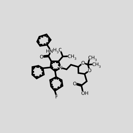 CC(C)c1c(C(=O)Nc2ccccc2)c(-c2ccccc2)c(-c2ccc(F)cc2)n1CCC1CC(CC(=O)O)OC(C)(C)O1